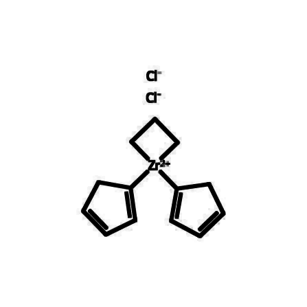 C1=CC[C]([Zr+2]2([C]3=CC=CC3)[CH2]C[CH2]2)=C1.[Cl-].[Cl-]